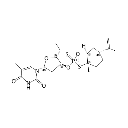 C=C(C)[C@@H]1CC[C@]2(C)S[P@](=S)(O[C@H]3C[C@H](n4cc(C)c(=O)[nH]c4=O)O[C@@H]3CC)O[C@H]2C1